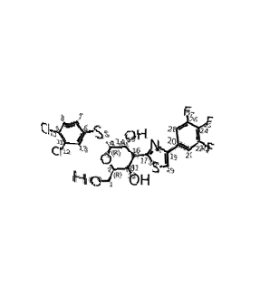 OC[C@H]1O[C@H](Sc2ccc(Cl)c(Cl)c2)[C@H](O)[C@@H](c2nc(-c3cc(F)c(F)c(F)c3)cs2)[C@H]1O